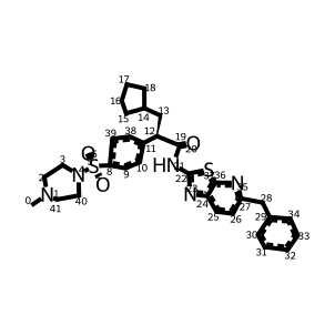 CN1CCN(S(=O)(=O)c2ccc([C@@H](CC3CCCC3)C(=O)Nc3nc4ccc(Cc5ccccc5)nc4s3)cc2)CC1